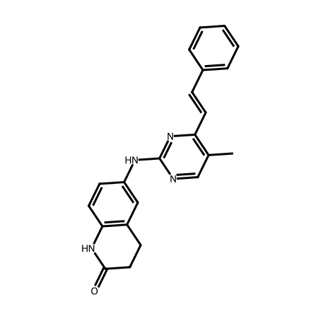 Cc1cnc(Nc2ccc3c(c2)CCC(=O)N3)nc1/C=C/c1ccccc1